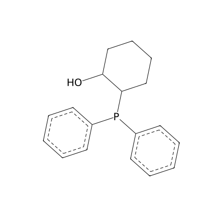 OC1CCCCC1P(c1ccccc1)c1ccccc1